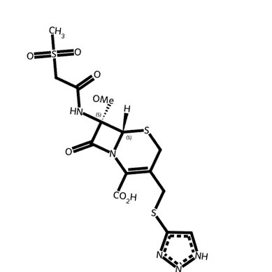 CO[C@@]1(NC(=O)CS(C)(=O)=O)C(=O)N2C(C(=O)O)=C(CSc3c[nH]nn3)CS[C@H]21